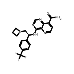 NC(=O)c1ccnc2c(N[C@H](CN3CCC3)c3ccc(C(F)(F)F)cc3)ncnc12